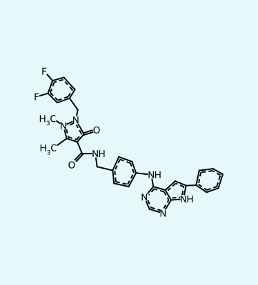 Cc1c(C(=O)NCc2ccc(Nc3ncnc4[nH]c(-c5ccccc5)cc34)cc2)c(=O)n(Cc2ccc(F)c(F)c2)n1C